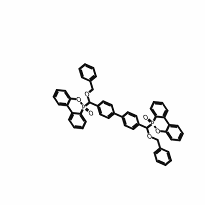 O=P1(C(OCc2ccccc2)c2ccc(-c3ccc(C(OCc4ccccc4)P4(=O)Oc5ccccc5-c5ccccc54)cc3)cc2)Oc2ccccc2-c2ccccc21